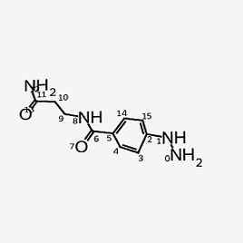 NNc1ccc(C(=O)NCCC(N)=O)cc1